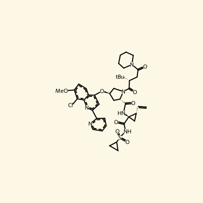 C=C[C@@H]1C[C@]1(NC(=O)[C@@H]1C[C@@H](Oc2cc(-c3ccccn3)nc3c(Cl)c(OC)ccc23)CN1C(=O)[C@@H](CC(=O)N1CCCCC1)C(C)(C)C)C(=O)NS(=O)(=O)C1CC1